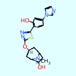 CN1C2C[C@H](Oc3nnc(-c4ccc(-n5ccnc5)cc4O)s3)CC1[C@H](O)C2